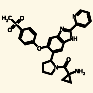 CS(=O)(=O)c1ccc(Oc2cc3nc(-c4ccccn4)[nH]c3cc2C2CCCN2C(=O)C2(N)CC2)cc1